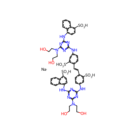 O=S(=O)(O)c1cc(Nc2nc(Nc3ccc(S(=O)(=O)O)c4ccccc34)nc(N(CCO)CCO)n2)ccc1C=Cc1ccc(Nc2nc(Nc3ccc(S(=O)(=O)O)c4ccccc34)nc(N(CCO)CCO)n2)cc1S(=O)(=O)O.[Na]